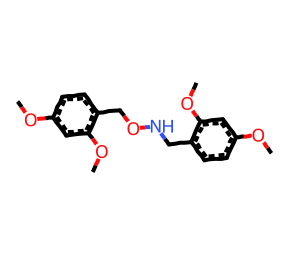 COc1ccc(CNOCc2ccc(OC)cc2OC)c(OC)c1